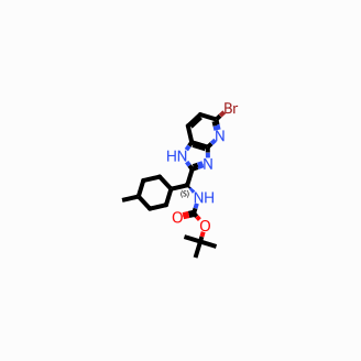 CC1CCC([C@H](NC(=O)OC(C)(C)C)c2nc3nc(Br)ccc3[nH]2)CC1